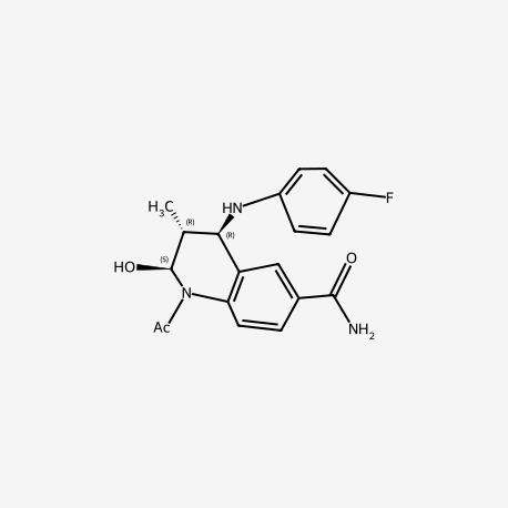 CC(=O)N1c2ccc(C(N)=O)cc2[C@H](Nc2ccc(F)cc2)[C@@H](C)[C@@H]1O